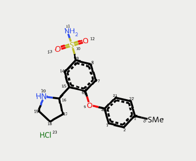 CSc1ccc(Oc2ccc(S(N)(=O)=O)cc2C2CCCN2)cc1.Cl